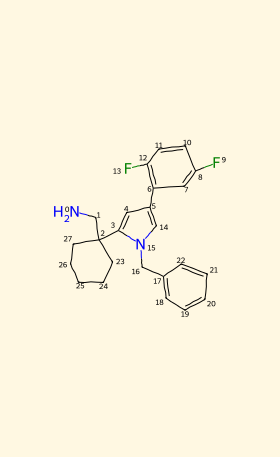 NCC1(c2cc(-c3cc(F)ccc3F)cn2Cc2ccccc2)CCCCC1